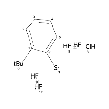 CC(C)(C)c1ccccc1[S].Cl.F.F.F.F